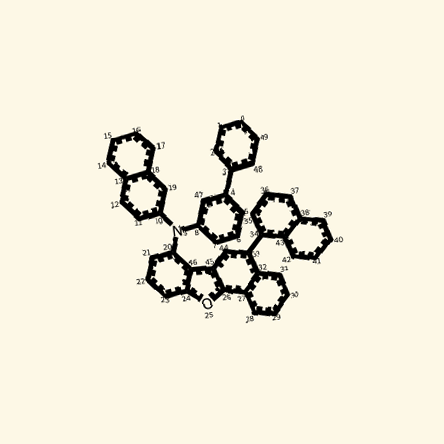 c1ccc(-c2cccc(N(c3ccc4ccccc4c3)c3cccc4oc5c6ccccc6c(-c6cccc7ccccc67)cc5c34)c2)cc1